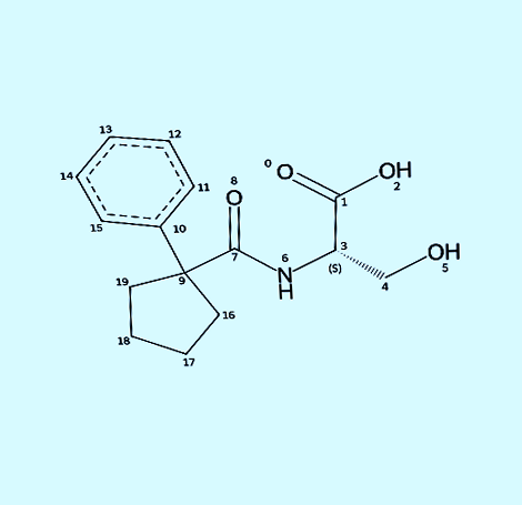 O=C(O)[C@H](CO)NC(=O)C1(c2ccccc2)CCCC1